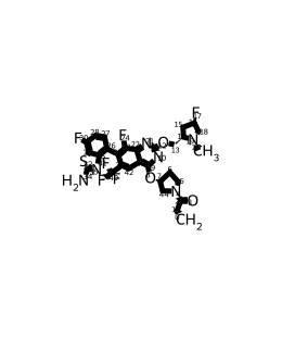 C=CC(=O)N1CC[C@@H](Oc2nc(OC[C@@H]3C[C@@H](F)CN3C)nc3c(F)c(-c4ccc(F)c5sc(N)nc45)c(C(F)(F)F)cc23)C1